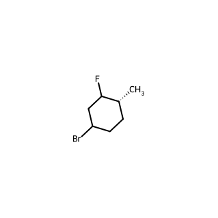 C[C@@H]1CCC(Br)CC1F